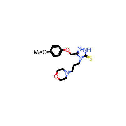 COc1ccc(OCc2n[nH]c(=S)n2CCCN2CCOCC2)cc1